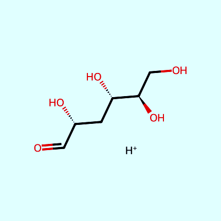 O=C[C@H](O)C[C@H](O)[C@H](O)CO.[H+]